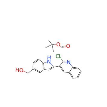 CC(C)(C)OC=O.OCc1ccc2[nH]c(-c3cc4ccccc4nc3Cl)cc2c1